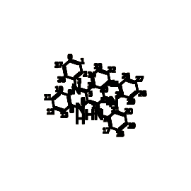 c1ccc(N=C2C(Nc3ccccc3)=C(Nc3ccccc3)C(=Nc3ccccc3)c3ccccc32)cc1